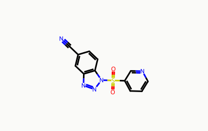 N#Cc1ccc2c(c1)nnn2S(=O)(=O)c1cccnc1